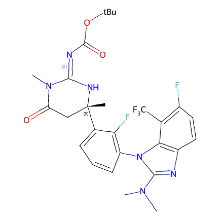 CN1C(=O)C[C@@](C)(c2cccc(-n3c(N(C)C)nc4ccc(F)c(C(F)(F)F)c43)c2F)N/C1=N\C(=O)OC(C)(C)C